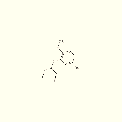 COc1ccc(Br)cc1OC(CF)CF